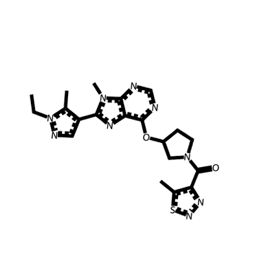 CCn1ncc(-c2nc3c(OC4CCN(C(=O)c5nnsc5C)C4)ncnc3n2C)c1C